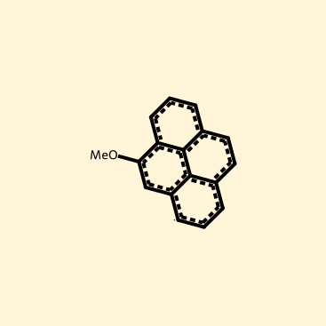 COc1cc2[c]ccc3ccc4cccc1c4c23